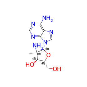 C[C@@]1(N)[C@H](O)[C@@H](CO)O[C@H]1n1cnc2c(N)ncnc21